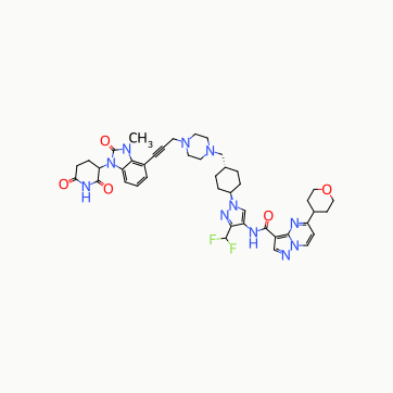 Cn1c(=O)n(C2CCC(=O)NC2=O)c2cccc(C#CCN3CCN(C[C@H]4CC[C@H](n5cc(NC(=O)c6cnn7ccc(C8CCOCC8)nc67)c(C(F)F)n5)CC4)CC3)c21